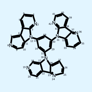 c1cnc2c(c1)c1cnccc1n2-c1cc(-n2c3cnccc3c3ncccc32)cc(-n2c3cccnc3c3cccnc32)c1